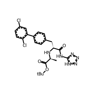 C[C@H](N[C@H](Cc1ccc(-c2cc(Cl)ccc2Cl)cc1)C(=O)Nc1nnn[nH]1)C(=O)OC(C)(C)C